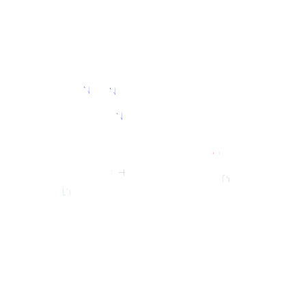 Cc1c(Br)ccc2nnn(-c3ccc(OC(C)C)cc3)c12